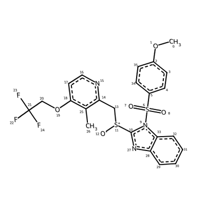 COc1ccc(S(=O)(=O)n2c([S+]([O-])Cc3nccc(OCC(F)(F)F)c3C)nc3ccccc32)cc1